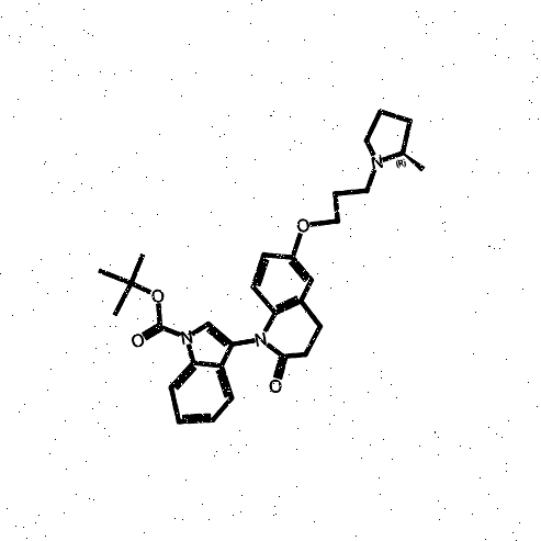 C[C@@H]1CCCN1CCCOc1ccc2c(c1)CCC(=O)N2c1cn(C(=O)OC(C)(C)C)c2ccccc12